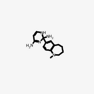 CN1CCCCc2cc(C3(N)N=C(N)C=CN3)ccc21